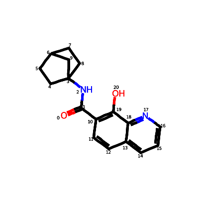 O=C(NC12CCC(CC1)C2)c1ccc2cccnc2c1O